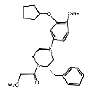 COCC(=O)N1CCN(c2ccc(OC)c(OC3CCCC3)c2)C[C@@H]1Cc1ccccc1